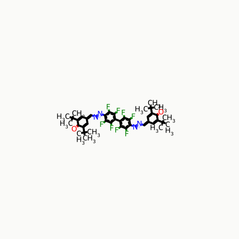 CC(C)(C)C1=CC(=C/N=N/c2c(F)c(F)c(-c3c(F)c(F)c(/N=N/C=C4C=C(C(C)(C)C)C(=O)C(C(C)(C)C)=C4)c(F)c3F)c(F)c2F)C=C(C(C)(C)C)C1=O